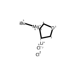 C1CCOC1.CC[CH](C)[Mg+].[Cl-].[Cl-].[Li+]